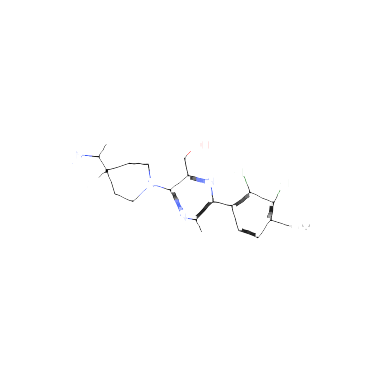 COc1ccc(-c2nc(CO)c(N3CCC(C)(C(C)N)CC3)nc2C)c(Cl)c1Cl